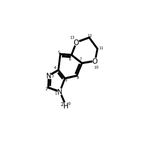 [2H]n1cnc2cc3c(cc21)OCCO3